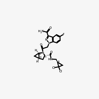 NC(=O)c1nn(CC(=O)N2[C@@H]3C[C@@H]3C[C@H]2C(=O)NC[C@H]2CC2(Cl)Cl)c2ccc(F)cc12